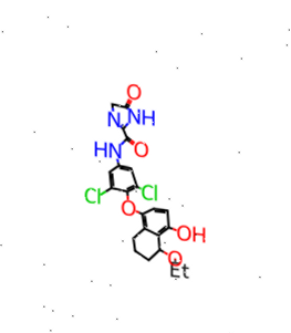 CCOC1CCCc2c(Oc3c(Cl)cc(NC(=O)C4=NCC(=O)N4)cc3Cl)ccc(O)c21